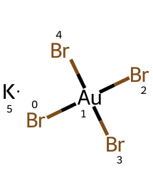 [Br][Au]([Br])([Br])[Br].[K]